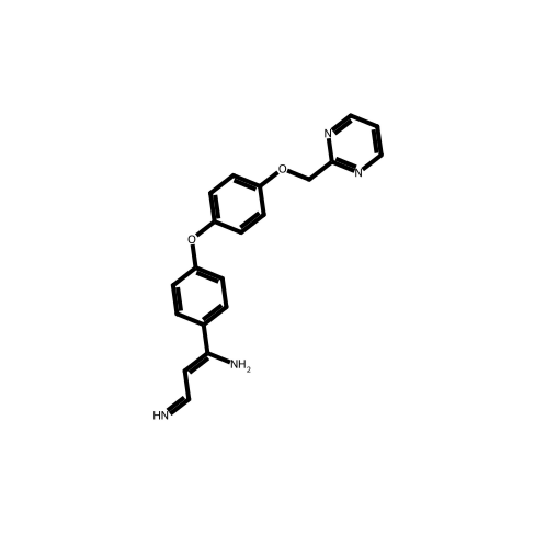 N=C/C=C(\N)c1ccc(Oc2ccc(OCc3ncccn3)cc2)cc1